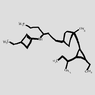 CCCC(CCC1CC(C)(CC2C(CC)C2C(C)CC)C1)NC1=CC(CC)C1